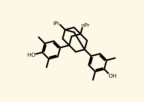 CCCC12CC3(c4cc(C)c(O)c(C)c4)CC(c4cc(C)c(O)c(C)c4)(C1)CC(C(C)C)(C2)C3